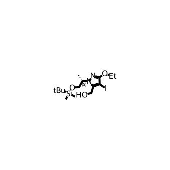 CCOc1nn([C@@H](C)CO[Si](C)(C)C(C)(C)C)c(CO)c1I